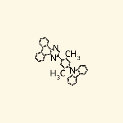 Cc1cc(-n2c3ccccc3c3ccccc32)c(C)cc1-c1cnc2c3ccccc3c3ccccc3c2n1